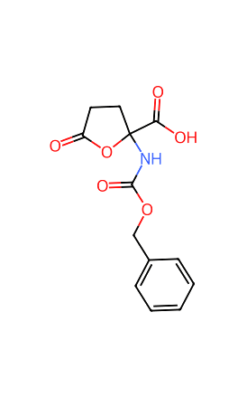 O=C1CCC(NC(=O)OCc2ccccc2)(C(=O)O)O1